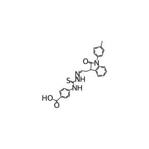 Cc1ccc(N2C(=O)C(C/C=N\NC(=S)Nc3ccc(C(=O)O)cc3)c3ccccc32)cc1